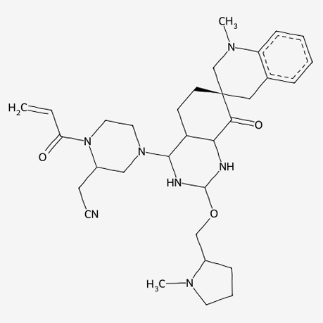 C=CC(=O)N1CCN(C2NC(OCC3CCCN3C)NC3C(=O)[C@@]4(CCC32)Cc2ccccc2N(C)C4)CC1CC#N